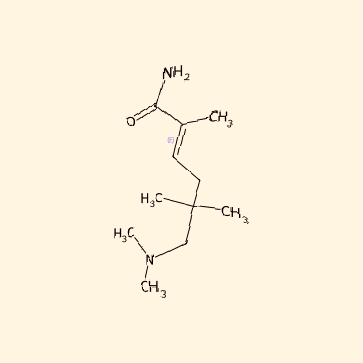 C/C(=C\CC(C)(C)CN(C)C)C(N)=O